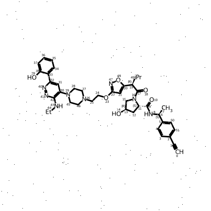 C#Cc1ccc([C@H](C)NC(=O)[C@@H]2C[C@@H](O)CN2C(=O)[C@@H](c2cc(OCCN3CCN(c4cc(-c5ccccc5O)nnc4NCC)CC3)no2)C(C)C)cc1